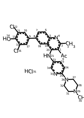 CC(=O)c1c(C)nc2ccc(-c3cc(Cl)c(O)c(Cl)c3)cc2c1Nc1ccc(N2CCN(C)CC2)nc1.Cl